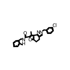 Cc1ccccc1CNC(=O)c1oc2c(c1C)-c1nn(Cc3cccc(Cl)c3)cc1CC2